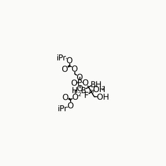 BC(B)(OP(=O)(OCOC(=O)OC(C)C)OCOC(=O)OC(C)C)[C@](O)(F)CO